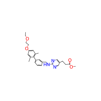 CCOCCOc1cc(C)c(-c2cccc(CNc3ncc(CCC(=O)OC)cn3)c2)c(C)c1